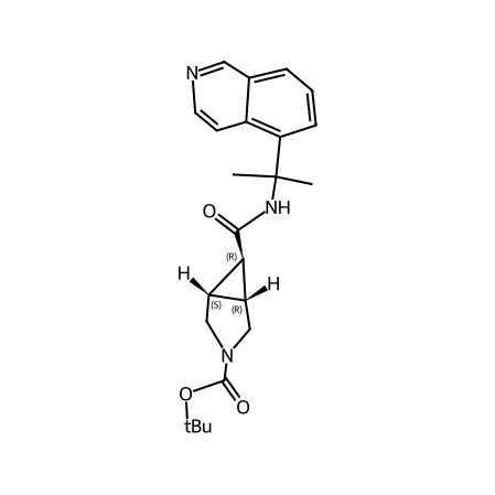 CC(C)(C)OC(=O)N1C[C@@H]2[C@H](C1)[C@H]2C(=O)NC(C)(C)c1cccc2cnccc12